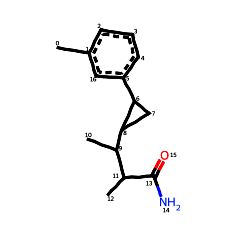 Cc1cccc(C2CC2C(C)C(C)C(N)=O)c1